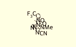 CNC(=O)c1nc(-c2ccnn2-c2ccc(C#N)nc2)c(C)n(-c2cccc(C(F)(F)F)c2)c1=O